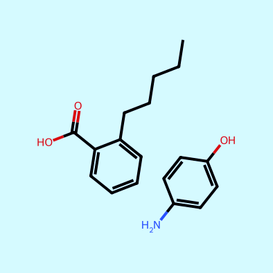 CCCCCc1ccccc1C(=O)O.Nc1ccc(O)cc1